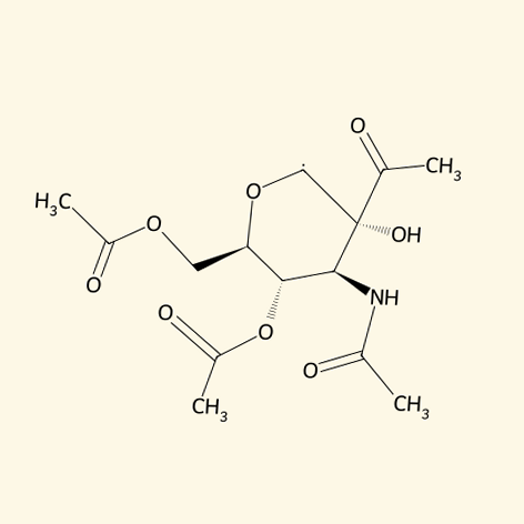 CC(=O)N[C@H]1[C@H](OC(C)=O)[C@@H](COC(C)=O)O[CH][C@@]1(O)C(C)=O